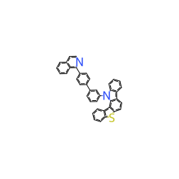 c1cc(-c2ccc(-c3nccc4ccccc34)cc2)cc(-n2c3ccccc3c3ccc4sc5ccccc5c4c32)c1